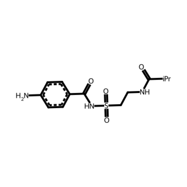 CC(C)C(=O)NCCS(=O)(=O)NC(=O)c1ccc(N)cc1